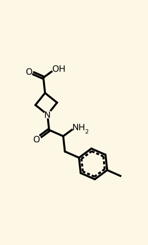 Cc1ccc(CC(N)C(=O)N2CC(C(=O)O)C2)cc1